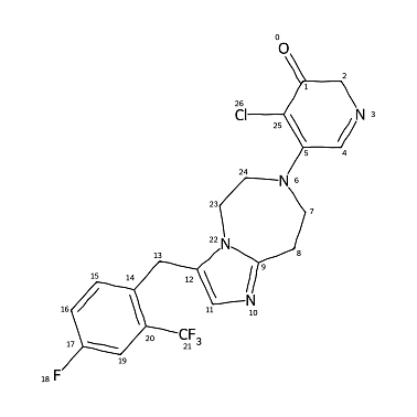 O=C1CN=CC(N2CCc3ncc(Cc4ccc(F)cc4C(F)(F)F)n3CC2)=C1Cl